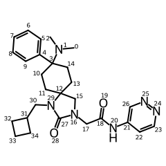 CN(C)C1(c2ccccc2)CCC2(CC1)CN(CC(=O)Nc1ccnnc1)C(=O)N2CC1CCC1